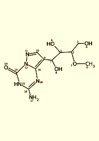 COC(CO)C(O)C(O)c1cnn2c(=O)[nH]c(N)nc12